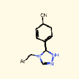 CC(=O)CN1C=NNC1C1=CCC(C#N)C=C1